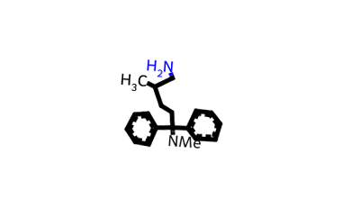 CNC(CCC(C)CN)(c1ccccc1)c1ccccc1